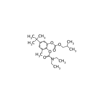 CCN(CC)C(=O)Oc1c(C)cc(C(C)(C)C)cc1OC(=O)OCC(C)C